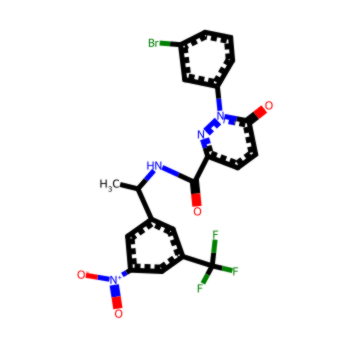 CC(NC(=O)c1ccc(=O)n(-c2cccc(Br)c2)n1)c1cc([N+](=O)[O-])cc(C(F)(F)F)c1